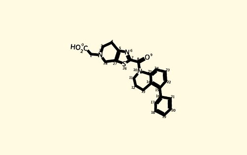 O=C(O)CN1CCc2nc(C(=O)N3CCCc4c(-c5ccccc5)cccc43)sc2C1